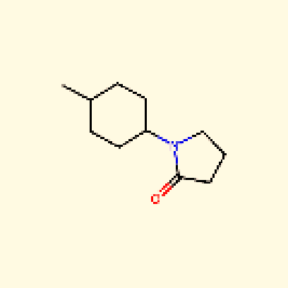 C[C]1CCC(N2CCCC2=O)CC1